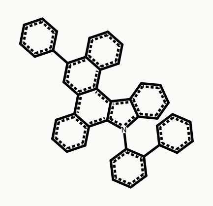 c1ccc(-c2ccccc2-n2c3ccccc3c3c4c5ccccc5c(-c5ccccc5)cc4c4ccccc4c32)cc1